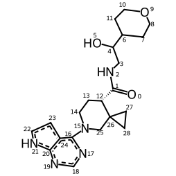 O=C(NCC(O)C1CCOCC1)[C@H]1CCN(c2ncnc3[nH]ccc23)CC12CC2